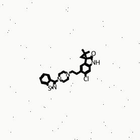 CC1(C)CC12C(=O)Nc1cc(Cl)c(CCN3CCN(c4nsc5ccccc45)CC3)cc12